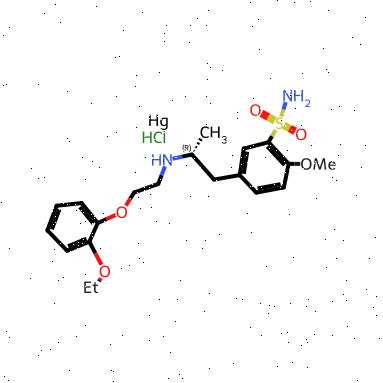 CCOc1ccccc1OCCN[C@H](C)Cc1ccc(OC)c(S(N)(=O)=O)c1.Cl.[Hg]